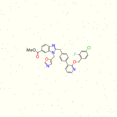 COC(=O)c1ccc2nc(Cc3ccc(-c4cccnc4OCc4ccc(Cl)cc4F)cc3)n(Cc3cnco3)c2c1